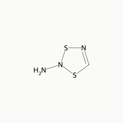 NN1SC=NS1